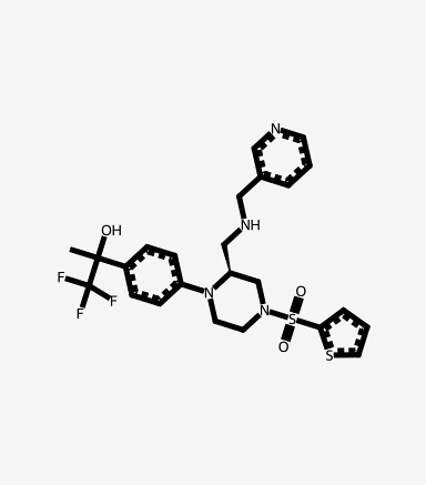 CC(O)(c1ccc(N2CCN(S(=O)(=O)c3cccs3)C[C@@H]2CNCc2cccnc2)cc1)C(F)(F)F